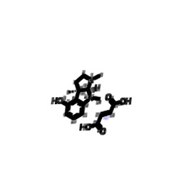 CN1CC[C@]2(C)c3c(O)cccc3N(C)[C@H]12.O=C(O)/C=C/C(=O)O